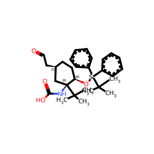 CC(C)(C)[C@]1(NC(=O)O)C[C@@H](CC=O)CC[C@H]1O[Si](c1ccccc1)(c1ccccc1)C(C)(C)C